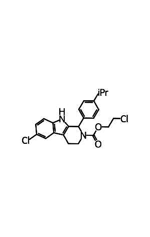 CC(C)c1ccc(C2c3[nH]c4ccc(Cl)cc4c3CCN2C(=O)OCCCl)cc1